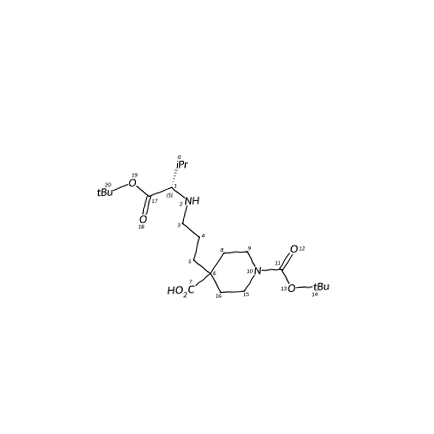 CC(C)[C@H](NCCCC1(C(=O)O)CCN(C(=O)OC(C)(C)C)CC1)C(=O)OC(C)(C)C